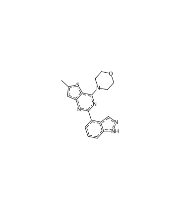 Cc1cc2nc(-c3cccc4[nH]ncc34)nc(N3CCOCC3)c2s1